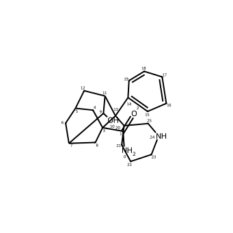 NC(=O)C12CC3CC(C1)C(O)C(C3)C2(c1ccccc1)C1CCCNC1